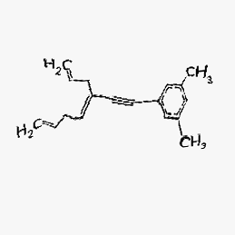 C=CCC=C(C#Cc1cc(C)cc(C)c1)CC=C